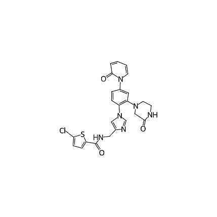 O=C1CN(c2cc(-n3ccccc3=O)ccc2-n2cnc(CNC(=O)c3ccc(Cl)s3)c2)CCN1